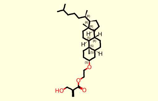 C=C(CO)C(=O)OCCO[C@H]1CC[C@@]2(C)[C@@H](CC[C@@H]3[C@@H]2CC[C@]2(C)[C@@H]([C@H](C)CCCC(C)C)CC[C@@H]32)C1